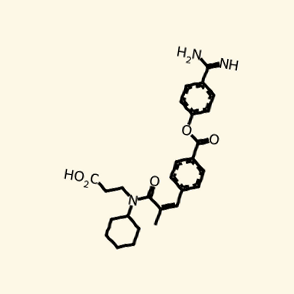 CC(=Cc1ccc(C(=O)Oc2ccc(C(=N)N)cc2)cc1)C(=O)N(CCC(=O)O)C1CCCCC1